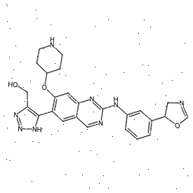 OCc1nn[nH]c1-c1cc2cnc(Nc3cccc(C4CN=CO4)c3)nc2cc1OC1CCNCC1